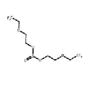 O=S(OCCOCC(F)(F)F)OCCOCC(F)(F)F